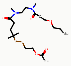 CN(CCN(C)C(=O)CCC(C)(C)SSCCOC(=O)C(C)(C)C)C(=O)CCOCCC(C)(C)C